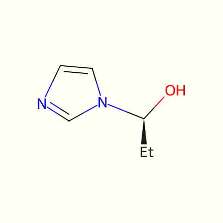 CC[C@H](O)n1ccnc1